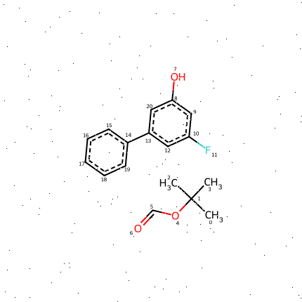 CC(C)(C)OC=O.Oc1cc(F)cc(-c2ccccc2)c1